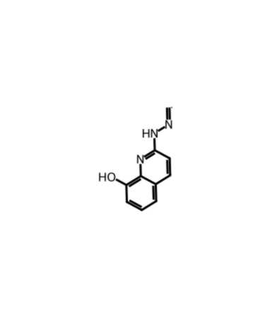 [CH]=NNc1ccc2cccc(O)c2n1